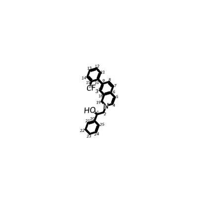 OC(CN1C=Cc2ccc(-c3ccccc3C(F)(F)F)cc2C1)C1=CCCC=C1